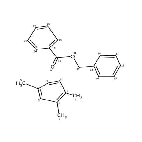 Cc1ccc(C)c(C)c1.O=C(OCc1ccccc1)c1ccccc1